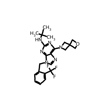 CC(C)(C)Nc1nc(N2CC3(COC3)C2)c2ncn(Cc3ccccc3C(F)(F)F)c2n1